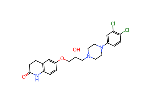 O=C1CCc2cc(OC[C@H](O)CN3CCN(c4ccc(Cl)c(Cl)c4)CC3)ccc2N1